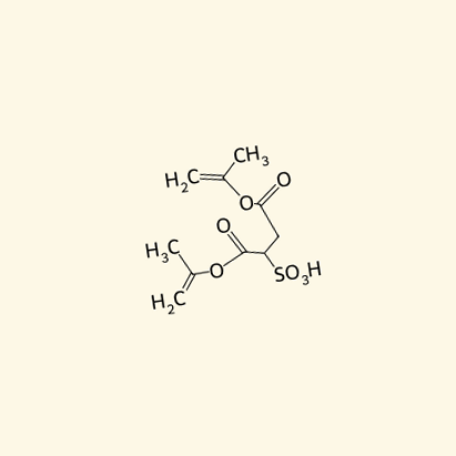 C=C(C)OC(=O)CC(C(=O)OC(=C)C)S(=O)(=O)O